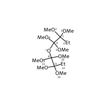 CCC(OC)(OC)C(OC)(OC)OC(OC)(OC)C(CC)(OC)OC